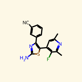 Cc1cc(-c2sc(N)nc2-c2cccc(C#N)c2)c(F)c(C)n1